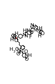 Cn1c(=O)n(C2CCC(=O)NC2=O)c2cccc(CCCCN3C[C@H]4CC[C@@H](C3)N4C(=O)[C@H]3CC[C@H](n4cc(NC(=O)c5cnn6ccc(N7C[C@H]8C[C@@H]7CO8)nc56)c(C(F)F)n4)CC3)c21